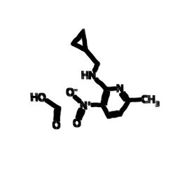 Cc1ccc([N+](=O)[O-])c(NCC2CC2)n1.O=CO